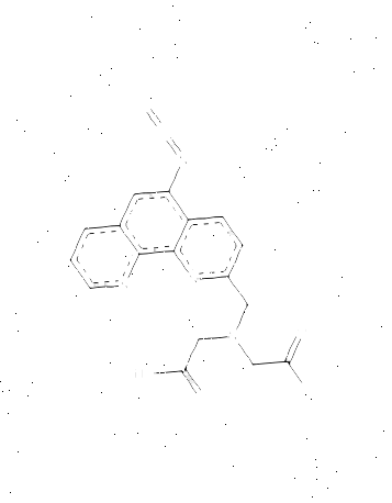 O=C(O)CN(CC(=O)O)Cc1ccc2c(N=C=S)cc3cccnc3c2n1